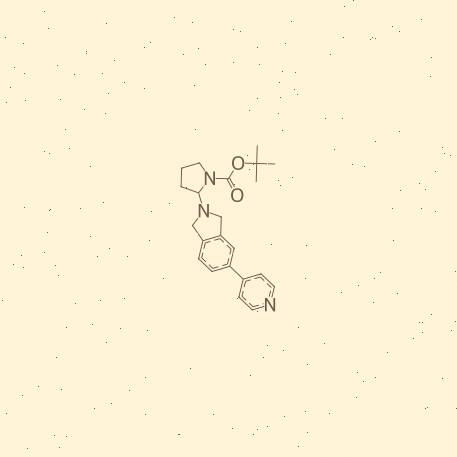 CC(C)(C)OC(=O)N1CCCC1N1Cc2ccc(-c3ccncc3)cc2C1